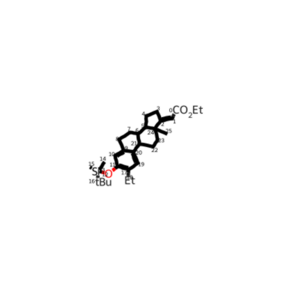 CCOC(=O)/C=C1\CCC2C3CCc4cc(O[Si](C)(C)C(C)(C)C)c(CC)cc4C3CCC12C